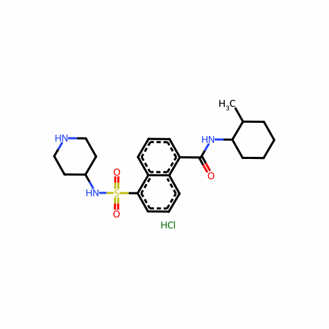 CC1CCCCC1NC(=O)c1cccc2c(S(=O)(=O)NC3CCNCC3)cccc12.Cl